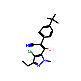 CCc1nn(C)c(C(O)=C(C#N)c2ccc(C(C)(C)C)cc2)c1Cl